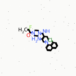 C=C(F)C(=O)N1CCN(C(=N)C2=C(N)CN(c3cccc4cccc(Cl)c34)CC2)CC1